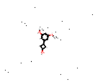 COc1cc(OC)cc(C2CC(O)C2)c1